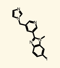 Cn1c(-c2cncc(Cn3ccnc3)c2)nc2ccc(I)cc21